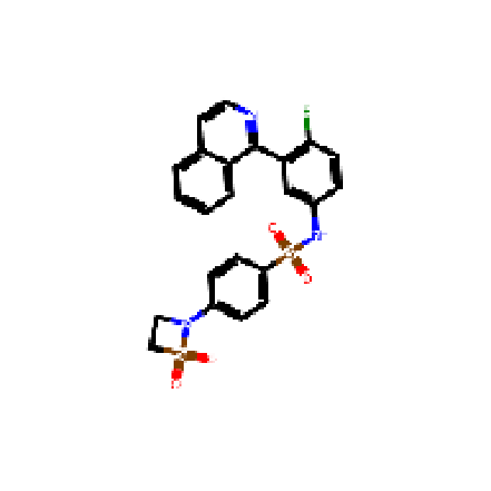 O=S(=O)(Nc1ccc(F)c(-c2nccc3ccccc23)c1)c1ccc(N2CCS2(=O)=O)cc1